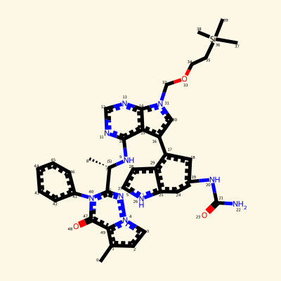 Cc1ccn2nc([C@H](C)Nc3ncnc4c3c(-c3cc(NC(N)=O)cc5[nH]ccc35)cn4COCC[Si](C)(C)C)n(-c3ccccc3)c(=O)c12